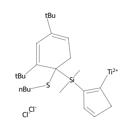 CCCCSC1([Si](C)(C)C2=[C]([Ti+2])CC=C2)CC=C(C(C)(C)C)C=C1C(C)(C)C.[Cl-].[Cl-]